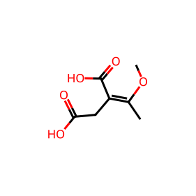 COC(C)=C(CC(=O)O)C(=O)O